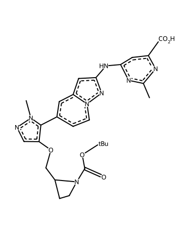 Cc1nc(Nc2cc3cc(-c4c(OCC5CCN5C(=O)OC(C)(C)C)cnn4C)ccn3n2)cc(C(=O)O)n1